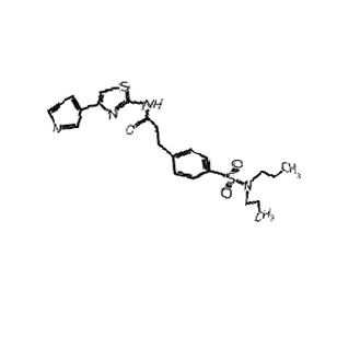 CCCN(CCC)S(=O)(=O)c1ccc(CCC(=O)Nc2nc(-c3cccnc3)cs2)cc1